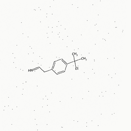 CCC(C)(C)c1ccc(CC=N)cc1